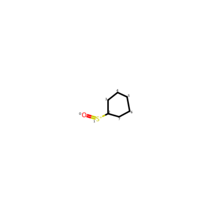 O=[S+]C1CCCCC1